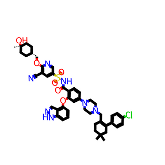 CC1(C)CCC(CN2CCN(c3ccc(C(=O)NS(=O)(=O)c4cnc(OC[C@H]5CC[C@](C)(O)CC5)c(C#N)c4)c(Oc4cccc5[nH]ncc45)c3)CC2)=C(c2ccc(Cl)cc2)C1